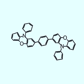 c1ccc(N2c3ccccc3Oc3ccc(-c4ccc(-c5ccc6c(c5)N(c5ccccc5)c5ccccc5O6)cc4)cc32)cc1